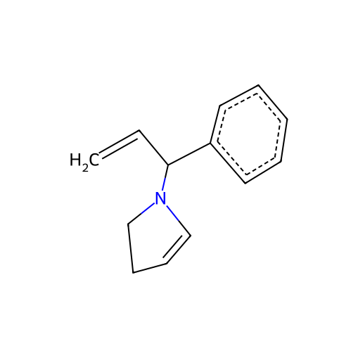 C=CC(c1ccccc1)N1C=CCC1